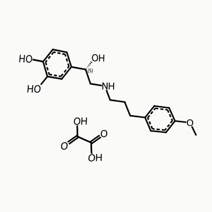 COc1ccc(CCCNC[C@@H](O)c2ccc(O)c(O)c2)cc1.O=C(O)C(=O)O